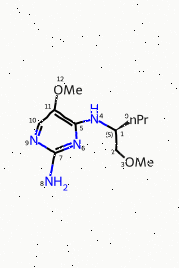 CCC[C@@H](COC)Nc1nc(N)ncc1OC